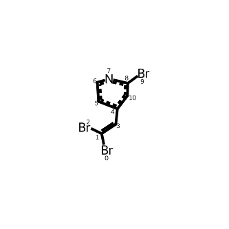 BrC(Br)=Cc1ccnc(Br)c1